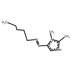 CCCCCN=Nc1c[nH]c(C)[n+]1C